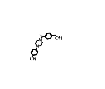 C[C@H](c1ccc(CO)cc1)N1CCN(c2ccc(C#N)cc2)CC1